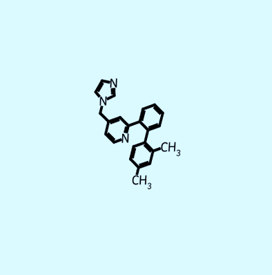 Cc1ccc(-c2ccccc2-c2cc(Cn3ccnc3)ccn2)c(C)c1